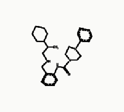 CC(CNCc1ccccc1NC(=O)N1CCN(c2ccccc2)CC1)C1CCCCC1